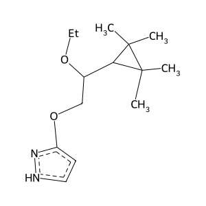 CCOC(COc1cc[nH]n1)C1C(C)(C)C1(C)C